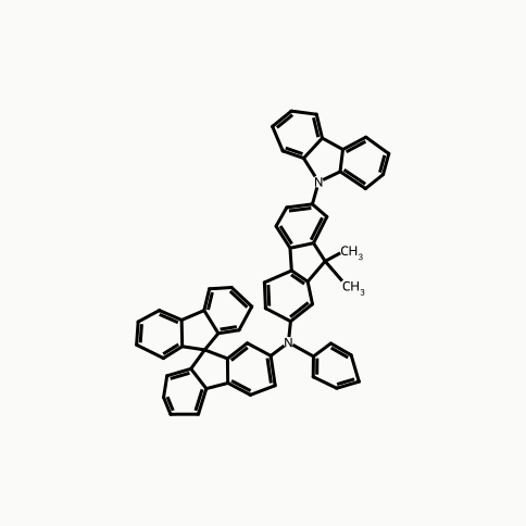 CC1(C)c2cc(N(c3ccccc3)c3ccc4c(c3)C3(c5ccccc5-c5ccccc53)c3ccccc3-4)ccc2-c2ccc(-n3c4ccccc4c4ccccc43)cc21